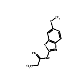 N=C(CC(Cl)(Cl)Cl)Nc1nc2ccc(OC(F)(F)F)cc2s1